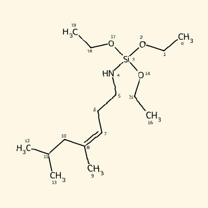 CCO[Si](NCCC=C(C)CC(C)C)(OCC)OCC